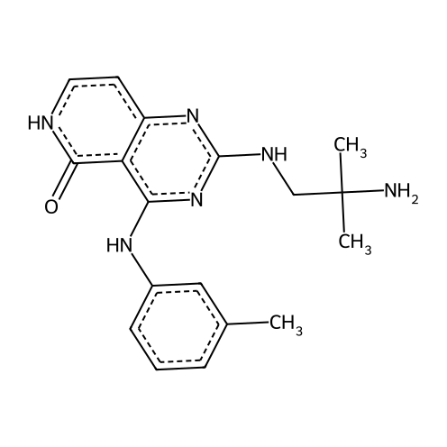 Cc1cccc(Nc2nc(NCC(C)(C)N)nc3cc[nH]c(=O)c23)c1